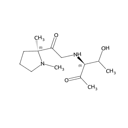 CC(=O)[C@@H](NCC(=O)[C@]1(C)CCCN1C)C(C)O